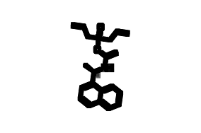 C=CCP(=O)(CC=C)OC(=C)N[C@H](C)c1cccc2ccccc12